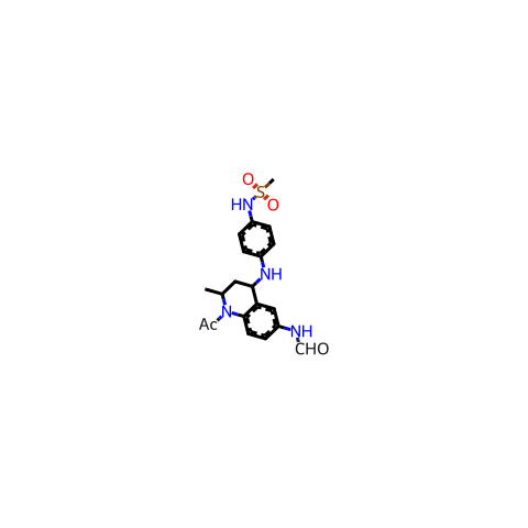 CC(=O)N1c2ccc(NC=O)cc2C(Nc2ccc(NS(C)(=O)=O)cc2)CC1C